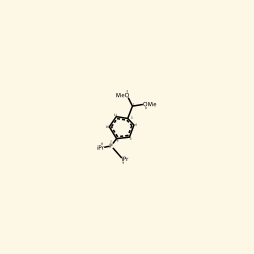 COC(OC)c1ccc(P(C(C)C)C(C)C)cc1